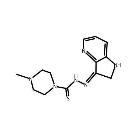 CN1CCN(C(=S)N/N=C2/CNc3cccnc32)CC1